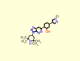 CCn1cc(-c2ccc(-c3cc4nnn(C5CC(C)(C)NC(C)(C)C5)c4nn3)c(O)c2)cn1